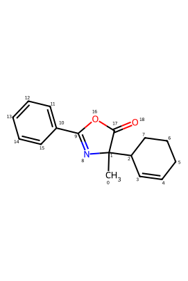 CC1(C2C=CCCC2)N=C(c2ccccc2)OC1=O